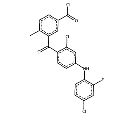 Cc1ccc(C(=O)Cl)cc1C(=O)c1ccc(Nc2ccc(Cl)cc2F)cc1Cl